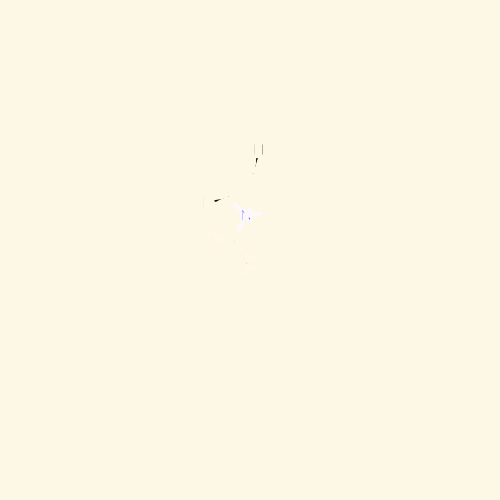 O=C(OCc1ccccc1)N1CC[C@H]2C[C@H]21